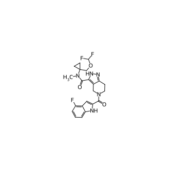 CN(C(=O)c1[nH]nc2c1CN(C(=O)c1cc3c(F)cccc3[nH]1)CC2)C1(COC(F)F)CC1